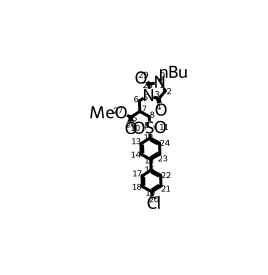 CCCCN1CC(=O)N(CC(CS(=O)(=O)c2ccc(-c3ccc(Cl)cc3)cc2)C(=O)OC)C1=O